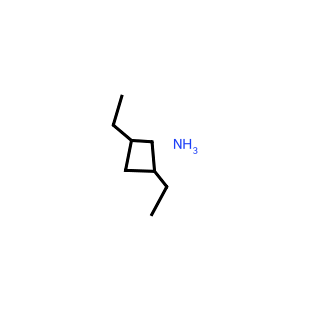 CCC1CC(CC)C1.N